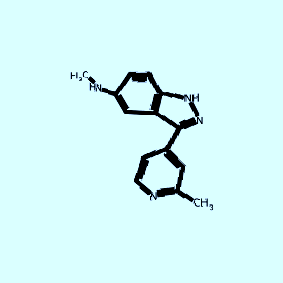 CNc1ccc2[nH]nc(-c3ccnc(C)c3)c2c1